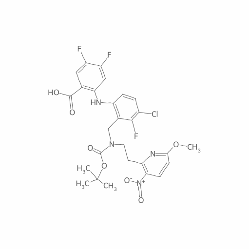 COc1ccc([N+](=O)[O-])c(CCN(Cc2c(Nc3cc(F)c(F)cc3C(=O)O)ccc(Cl)c2F)C(=O)OC(C)(C)C)n1